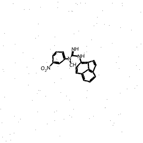 CN(C(=N)Nc1ccc2cccc3c2c1C=C3)c1cccc([N+](=O)[O-])c1